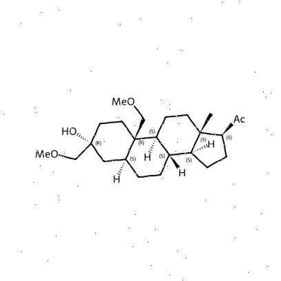 COC[C@@]1(O)CC[C@@]2(COC)[C@@H](CC[C@H]3[C@@H]4CC[C@H](C(C)=O)[C@@]4(C)CC[C@@H]32)C1